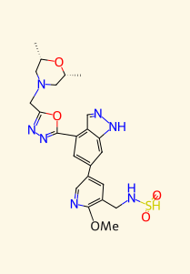 COc1ncc(-c2cc(-c3nnc(CN4C[C@@H](C)O[C@@H](C)C4)o3)c3cn[nH]c3c2)cc1CN[SH](=O)=O